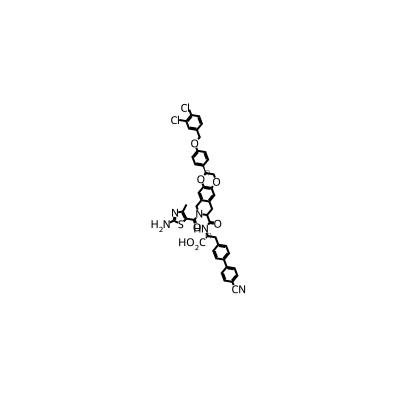 Cc1nc(N)sc1C(=O)N1Cc2cc3c(cc2CC1C(=O)N[C@@H](Cc1ccc(-c2ccc(C#N)cc2)cc1)C(=O)O)OC[C@H](c1ccc(OCc2ccc(Cl)c(Cl)c2)cc1)O3